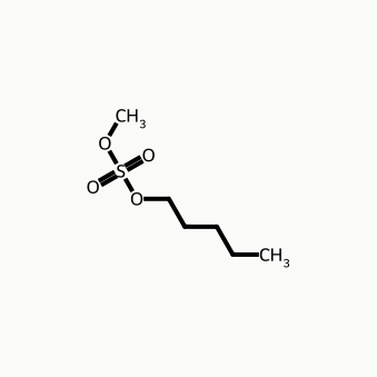 CCCCCOS(=O)(=O)OC